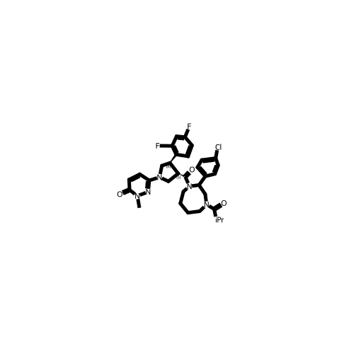 CC(C)C(=O)N1CCCCN(C(=O)[C@@H]2CN(c3ccc(=O)n(C)n3)C[C@H]2c2ccc(F)cc2F)C(c2ccc(Cl)cc2)C1